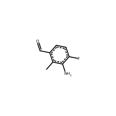 Cc1c(C=O)ccc(F)c1N